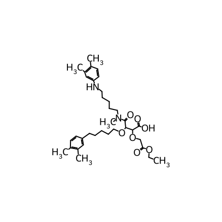 CCOC(=O)COC(C(=O)O)C(OCCCCCc1ccc(C)c(C)c1)C(=O)N(C)CCCCCNc1ccc(C)c(C)c1